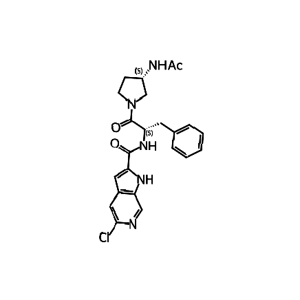 CC(=O)N[C@H]1CCN(C(=O)[C@H](Cc2ccccc2)NC(=O)c2cc3cc(Cl)ncc3[nH]2)C1